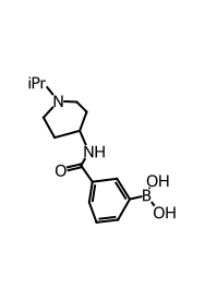 CC(C)N1CCC(NC(=O)c2cccc(B(O)O)c2)CC1